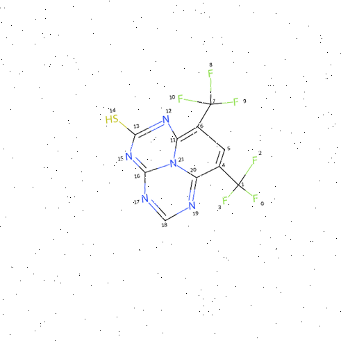 FC(F)(F)C1=CC(C(F)(F)F)=C2N=C(S)N=C3N=CN=C1N32